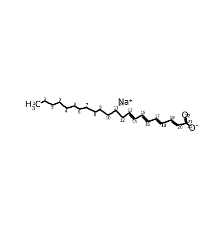 CCCCCCCCCCCCCC=CC=CC=CC=CC(=O)[O-].[Na+]